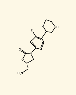 NC[C@H]1CN(c2ccc(C3CNCCO3)c(F)c2)C(=O)O1